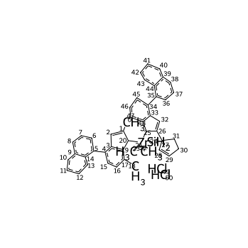 CC1=Cc2c(-c3cccc4ccccc34)ccc(C)c2[CH]1[Zr]([CH3])([CH3])(=[SiH2])[CH]1C(C2C=CCC2)=Cc2c(-c3cccc4ccccc34)cccc21.Cl.Cl